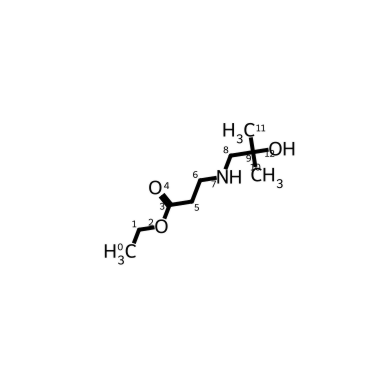 CCOC(=O)CCNCC(C)(C)O